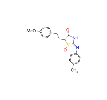 COc1ccc(CCC2C(=O)N/C(=N/c3ccc(C)cc3)[S+]2[O-])cc1